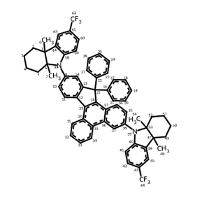 CC12CCCCC1(C)N(c1ccc3c(c1)C(c1ccccc1)(c1ccccc1)c1c-3c3ccccc3c3cc(N4c5ccc(C(F)(F)F)cc5C5(C)CCCCC45C)ccc13)c1ccc(C(F)(F)F)cc12